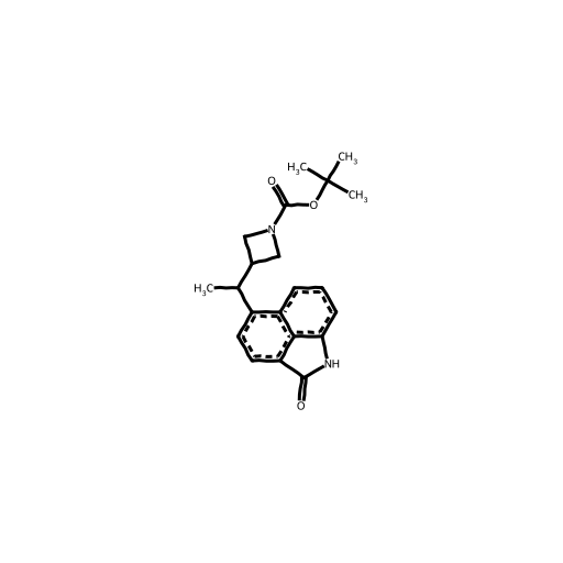 CC(c1ccc2c3c(cccc13)NC2=O)C1CN(C(=O)OC(C)(C)C)C1